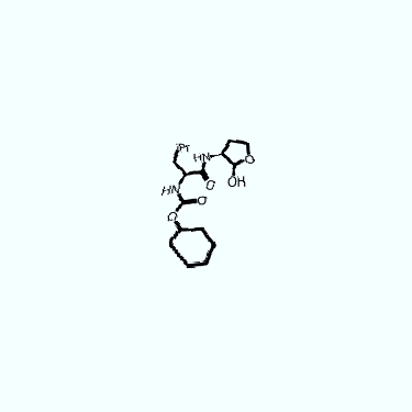 CC(C)CC(NC(=O)OC1CCCCC1)C(=O)N[C@H]1CCOC1O